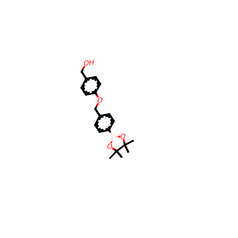 CC1(C)OB(c2ccc(COc3ccc(CO)cc3)cc2)OC1(C)C